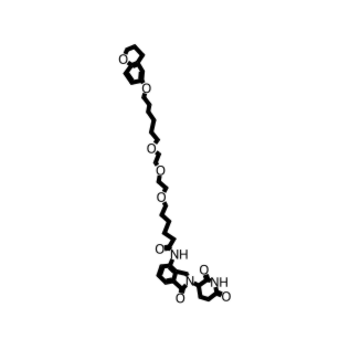 O=C1CCC(N2Cc3c(NC(=O)CCCCCOCCOCCOCCCCCCOc4ccc5c(c4)CCCO5)cccc3C2=O)C(=O)N1